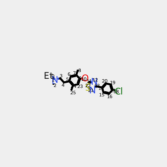 CCN(C)CCc1cc(C)c(Oc2nc(-c3ccc(Cl)cc3)ns2)cc1C